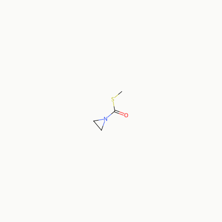 CSC(=O)N1CC1